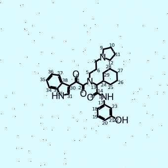 O=C(C(=O)N(CCCN1CCCC1)C(C(=O)Nc1cccc(O)c1)C1CCCCC1)c1c[nH]c2ccccc12